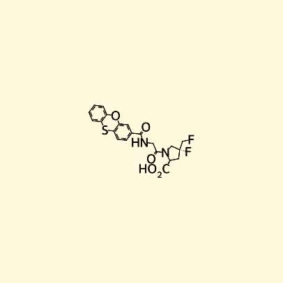 O=C(NCC(=O)N1C[C@@](F)(CF)C[C@H]1C(=O)O)c1ccc2c(c1)Oc1ccccc1S2